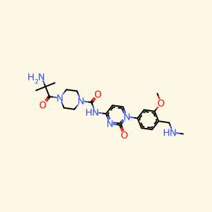 CNCc1ccc(-n2ccc(NC(=O)N3CCN(C(=O)C(C)(C)N)CC3)nc2=O)cc1OC